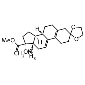 C=C(OC)[C@@]1(O)CC[C@H]2[C@@H]3CCC4=C(CCC5(C4)OCCO5)C3=CC[C@@]21C